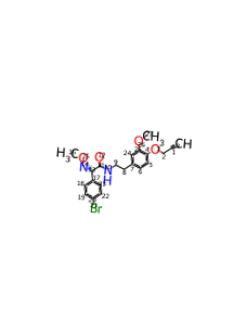 C#CCOc1ccc(CCNC(=O)/C(=N\OC)c2ccc(Br)cc2)cc1OC